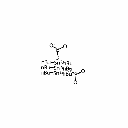 CCC[CH2][Sn+2][CH2]CCC.CCC[CH2][Sn+2][CH2]CCC.CCC[CH2][Sn+2][CH2]CCC.[O-]B([O-])[O-].[O-]B([O-])[O-]